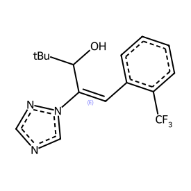 CC(C)(C)C(O)/C(=C\c1ccccc1C(F)(F)F)n1cncn1